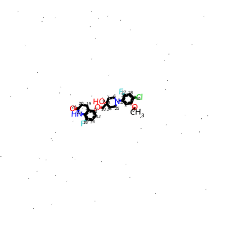 COc1cc(N2CCC(O)(COc3ccc(F)c4c3CCC(=O)N4)CC2)c(F)cc1Cl